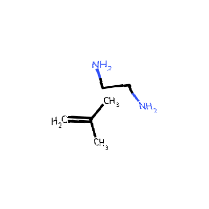 C=C(C)C.NCCN